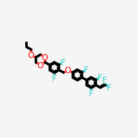 CCCOC1COC(c2cc(F)c(COc3ccc(-c4cc(F)c(C=C(F)F)c(F)c4)c(F)c3)c(F)c2)OC1